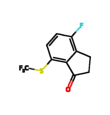 O=C1CCc2c(F)ccc(SC(F)(F)F)c21